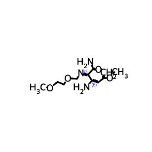 C=C(/C=C(N)\C(=N/COCCOC)C(N)=O)OC